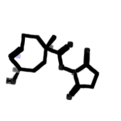 C[C@]1(C(=O)ON2C(=O)CCC2=O)CC/C=C/[C@@H](O)CC1